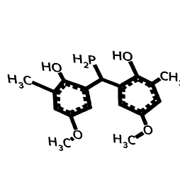 COc1cc(C)c(O)c(C(P)c2cc(OC)cc(C)c2O)c1